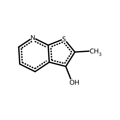 Cc1sc2ncccc2c1O